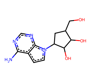 Nc1ncnc2c1ccn2C1CC(CO)C(O)C1O